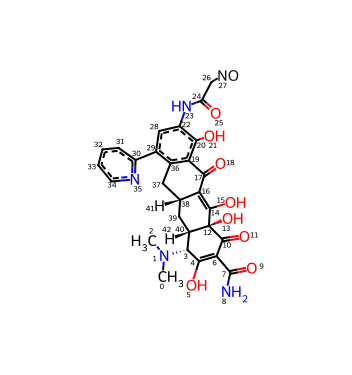 CN(C)[C@H]1C(O)=C(C(N)=O)C(=O)[C@@]2(O)C(O)=C3C(=O)c4c(O)c(NC(=O)CN=O)cc(-c5ccccn5)c4C[C@H]3C[C@@H]12